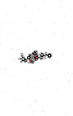 CC(C)(C)[Si](C)(C)O[C@@H]1[C@H]2COP(=O)(O)O[C@@H]3[C@@H](COP(=O)(O)O[C@H]1[C@H](n1cnc4c(=O)[nH]c(N)nc41)C2)C[C@@H](n1cnc2c(NC(=O)c4ccccc4)ncnc21)[C@@H]3O[Si](C)(C)C(C)(C)C